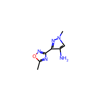 Cc1nc(-c2nn(C)cc2N)no1